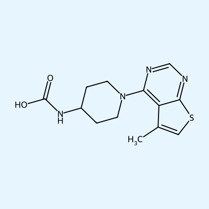 Cc1csc2ncnc(N3CCC(NC(=O)O)CC3)c12